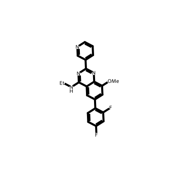 CCNc1nc(-c2cccnc2)nc2c(OC)cc(-c3ccc(F)cc3F)cc12